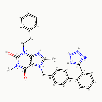 CCCn1c(=O)c2c(nc(CC)n2Cc2ccc(-c3ccccc3-c3nnn[nH]3)cc2)n(CCc2ccccc2)c1=O